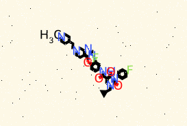 CN1CCC(CCN2CCc3c(ncnc3Oc3ccc(NC(=O)c4cn(CC5CC5)c(=O)n(-c5ccc(F)cc5)c4=O)cc3F)C2)CC1